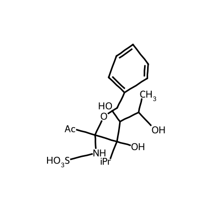 CC(=O)C(NS(=O)(=O)O)(OCc1ccccc1)C(O)(C(C)C)C(O)C(C)O